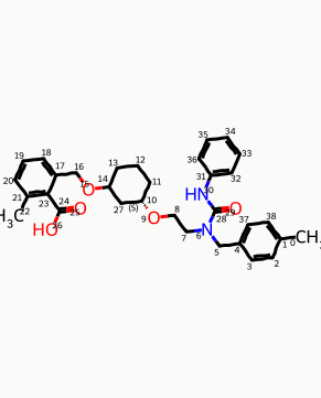 Cc1ccc(CN(CCO[C@H]2CCCC(OCc3cccc(C)c3C(=O)O)C2)C(=O)Nc2ccccc2)cc1